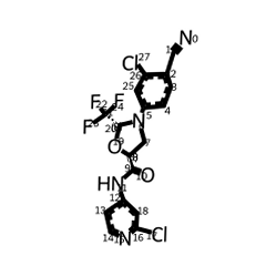 N#Cc1ccc(N2C[C@@H](C(=O)Nc3ccnc(Cl)c3)O[C@@H]2C(F)(F)F)cc1Cl